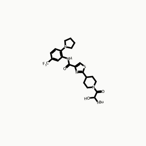 CCCCC(O)C(=O)N1CCC(c2nc(C(=O)Nc3cc(C(F)(F)F)ccc3N3CCCC3)cs2)CC1